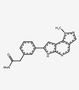 CNC(=O)Cc1cccc(-c2cc3c(ncc4cnn(C)c43)[nH]2)c1